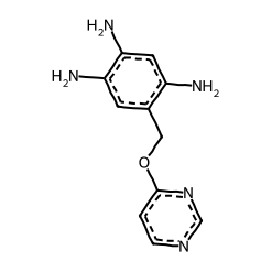 Nc1cc(N)c(COc2ccncn2)cc1N